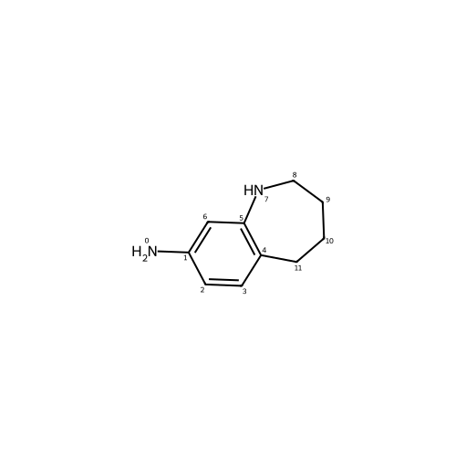 Nc1ccc2c(c1)NCCCC2